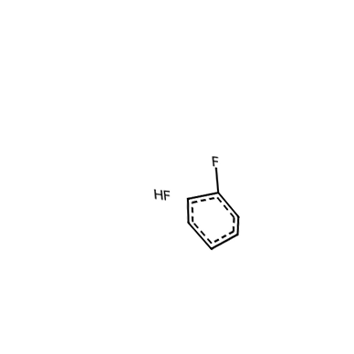 F.Fc1ccccc1